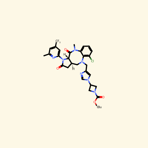 Cc1cc(C(F)(F)F)cc(N2C(=O)C[C@@H]3CN(Cc4cn(C5CN(C(=O)OC(C)(C)C)C5)cn4)c4c(Cl)cccc4N(C)C(=O)[C@H]32)n1